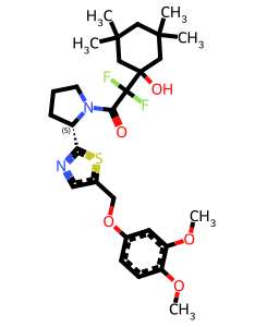 COc1ccc(OCc2cnc([C@@H]3CCCN3C(=O)C(F)(F)C3(O)CC(C)(C)CC(C)(C)C3)s2)cc1OC